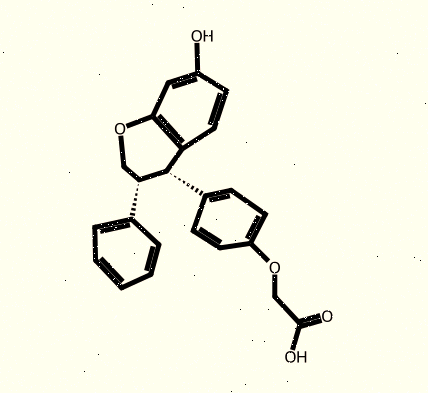 O=C(O)COc1ccc([C@H]2c3ccc(O)cc3OC[C@H]2c2ccccc2)cc1